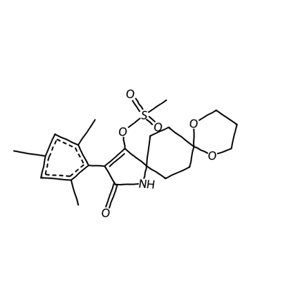 Cc1cc(C)c(C2=C(OS(C)(=O)=O)C3(CCC4(CC3)OCCCO4)NC2=O)c(C)c1